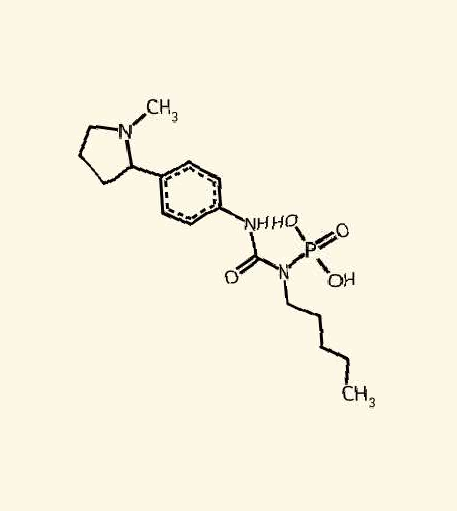 CCCCCN(C(=O)Nc1ccc(C2CCCN2C)cc1)P(=O)(O)O